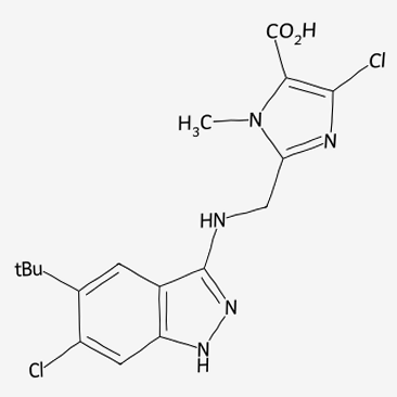 Cn1c(CNc2n[nH]c3cc(Cl)c(C(C)(C)C)cc23)nc(Cl)c1C(=O)O